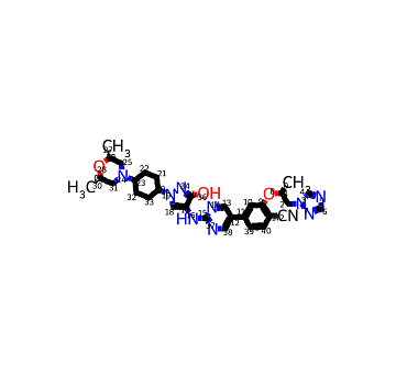 CC(Cn1cncn1)Oc1cc(-c2cnc(Nc3cn(C4CCC(N5C[C@@H](C)O[C@@H](C)C5)CC4)nc3O)nc2)ccc1C#N